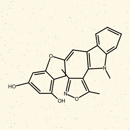 Cc1noc(C)c1-c1c(C=C2Cc3c(O)cc(O)cc3O2)c2ccccc2n1C